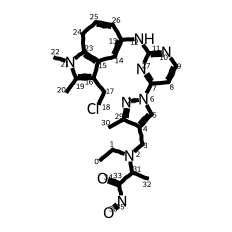 CCN(Cc1cn(-c2ccnc(NC3=Cc4c(CCl)c(C)n(C)c4CC=C3)n2)nc1C)C(C)C(=O)N=O